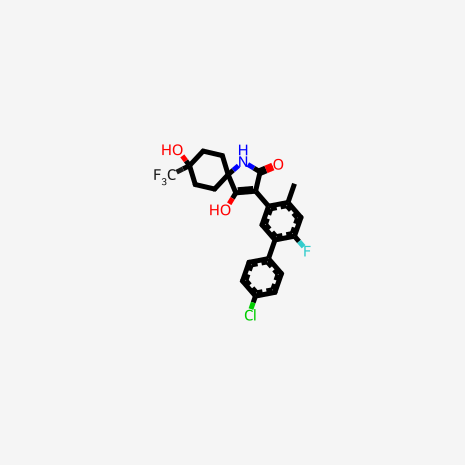 Cc1cc(F)c(-c2ccc(Cl)cc2)cc1C1=C(O)C2(CCC(O)(C(F)(F)F)CC2)NC1=O